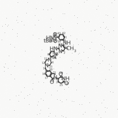 Cc1cnc(Nc2ccc(N3CCN(Cc4ccc5c(c4)CN(C4CCC(=O)NC4=O)C5=O)CC3)nn2)nc1Nc1cccc(S(=O)(=O)NC(C)(C)C)c1